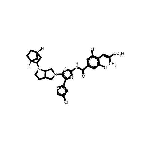 C/C(=C\c1c(Cl)cc(C(=O)Nc2nc(-c3cc(Cl)cs3)c(N3CC4CCN(C5C[C@H]6CC[C@@H]5C6)C4C3)s2)cc1Cl)C(=O)O